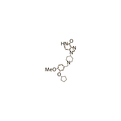 COc1ccc(CN2CCC(n3cnc4c(=O)[nH]ccc43)CC2)cc1OC1CCCC1